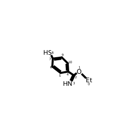 CCOC(=N)c1ccc(S)cc1